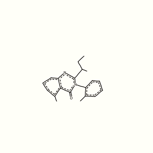 CCC(C)c1nc2cccc(C)c2c(=O)n1-c1ccccc1C